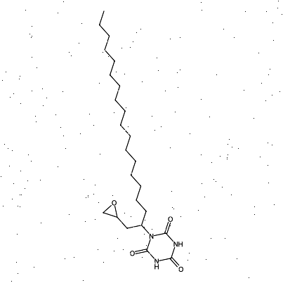 CCCCCCCCCCCCCCCCCC(CC1CO1)n1c(=O)[nH]c(=O)[nH]c1=O